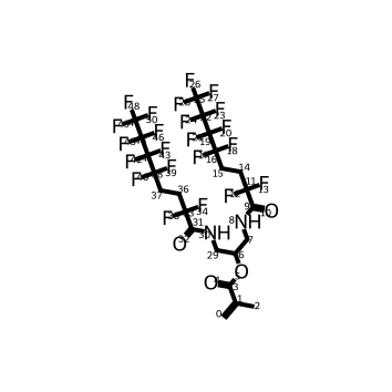 C=C(C)C(=O)OC(CNC(=O)C(F)(F)CCC(F)(F)C(F)(F)C(F)(F)C(F)(F)F)CNC(=O)C(F)(F)CCC(F)(F)C(F)(F)C(F)(F)C(F)(F)F